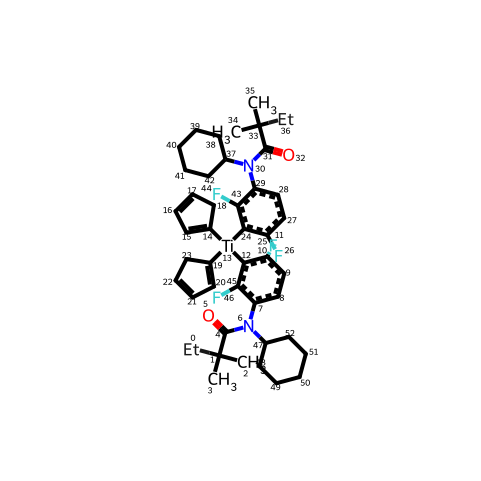 CCC(C)(C)C(=O)N(c1ccc(F)[c]([Ti]([C]2=CC=CC2)([C]2=CC=CC2)[c]2c(F)ccc(N(C(=O)C(C)(C)CC)C3CCCCC3)c2F)c1F)C1CCCCC1